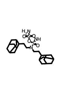 N=S(=O)(OS(N)(=O)=O)N(CCC1C2CC3CC(C2)CC1C3)CCC1C2CC3CC(C2)CC1C3